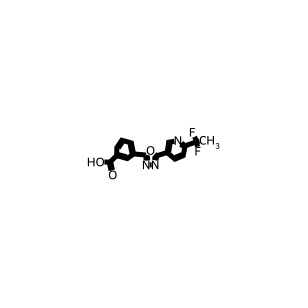 CC(F)(F)c1ccc(-c2nnc(-c3cccc(C(=O)O)c3)o2)cn1